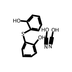 N#CO.N#CO.Oc1ccccc1Sc1ccccc1O